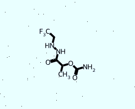 CC(OC(N)=O)C(=O)NNCC(F)(F)F